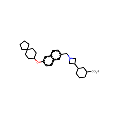 O=C(O)C1CCCC(C2CN(Cc3ccc4cc(OC5CCC6(CCCC6)CC5)ccc4c3)C2)C1